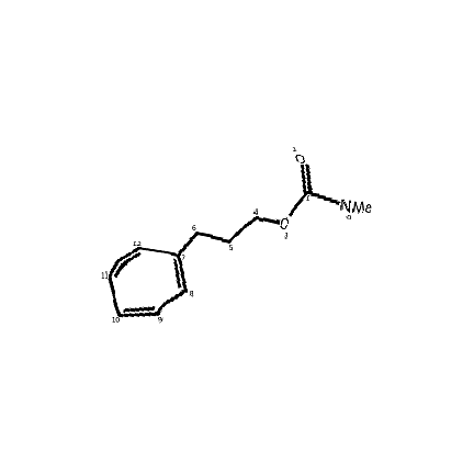 CNC(=O)OCCCc1ccccc1